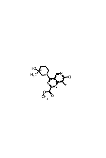 COC(=O)c1nc(N2CCC[C@@](C)(O)C2)c2cnc(Cl)c(F)c2n1